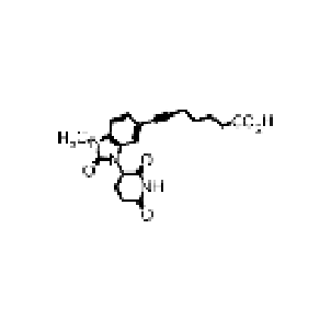 Cn1c(=O)n(C2CCC(=O)NC2=O)c2cc(C#CCCCCC(=O)O)ccc21